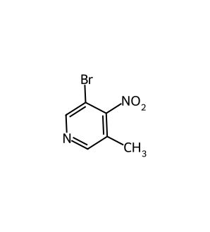 Cc1cncc(Br)c1[N+](=O)[O-]